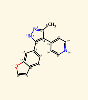 Cc1n[nH]c(-c2ccc3ccoc3c2)c1-c1ccncc1